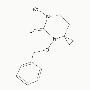 CCN1CCC2(CC2)N(OCc2ccccc2)C1=O